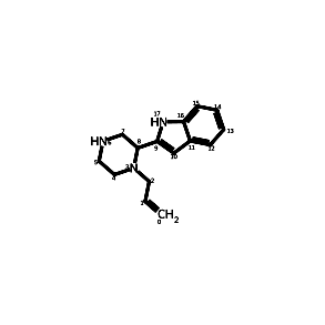 C=CCN1CCNCC1c1cc2ccccc2[nH]1